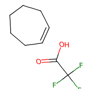 C1=CCCCCC1.O=C(O)C(F)(F)F